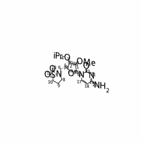 CO[C@@H]1[C@H](OC(C)C)[C@@H](CN2CCCS2(=O)=O)O[C@H]1n1ccc(N)nc1=O